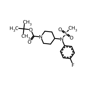 CC(C)(C)OC(=O)N1CCC(N(c2ccc(F)cc2)S(C)(=O)=O)CC1